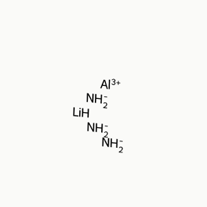 [Al+3].[LiH].[NH2-].[NH2-].[NH2-]